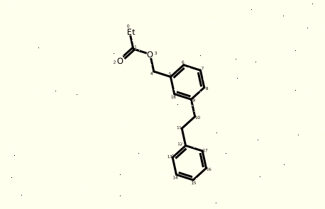 CCC(=O)OCc1cccc(CCc2ccccc2)c1